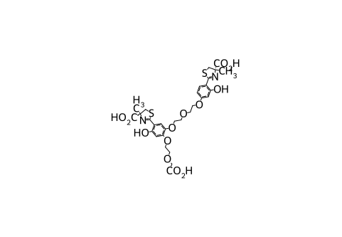 C[C@]1(C(=O)O)CSC(c2ccc(OCCOCCOc3cc(C4=N[C@@](C)(C(=O)O)CS4)c(O)cc3OCCOCC(=O)O)cc2O)=N1